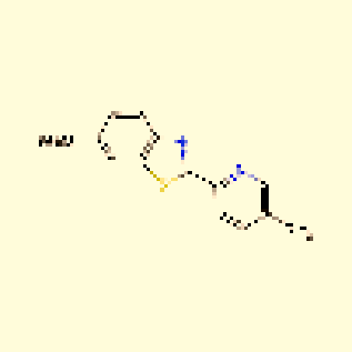 COc1ccc2nc(-c3ccc(C(F)(F)F)cn3)sc2c1